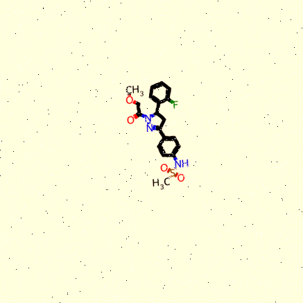 COCC(=O)N1N=C(c2ccc(NS(C)(=O)=O)cc2)CC1c1ccccc1F